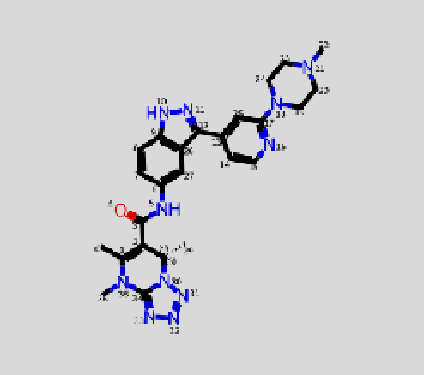 CC1=C(C(=O)Nc2ccc3[nH]nc(-c4ccnc(N5CCN(C)CC5)c4)c3c2)[C@H](C)n2nnnc2N1C